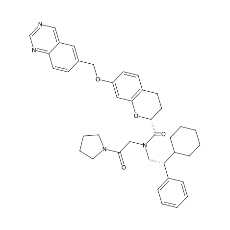 O=C(CN(C[C@@H](c1ccccc1)C1CCCCC1)C(=O)[C@H]1CCc2ccc(OCc3ccc4ncncc4c3)cc2O1)N1CCCC1